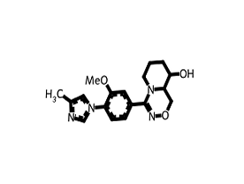 COc1cc(C2=NOCC3C(O)CCCN23)ccc1-n1cnc(C)c1